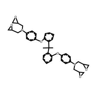 CC(C)(c1ccccc1Oc1ccc(N(CC2CO2)CC2CO2)cc1)c1ccccc1Oc1ccc(N(CC2CO2)CC2CO2)cc1